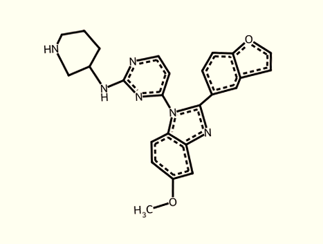 COc1ccc2c(c1)nc(-c1ccc3occc3c1)n2-c1ccnc(NC2CCCNC2)n1